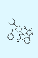 CCN(CC)c1cc2c(cc1Sc1ccccc1)C1(OC(=O)c3ccccc31)c1c(C)nn(C)c1O2